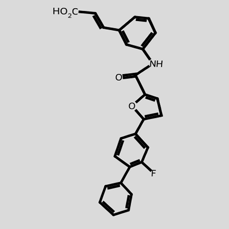 O=C(O)/C=C/c1cccc(NC(=O)c2ccc(-c3ccc(-c4ccccc4)c(F)c3)o2)c1